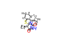 CCc1c(Sc2cc(C)cc(C)c2)n(CC2CCC2)c(=O)[nH]c1=O